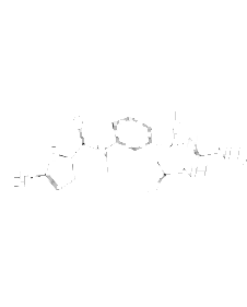 CC1(c2cccc(NC(=O)C3CC=C(Br)S3)c2)CC(=O)NC(N)=N1